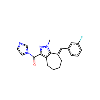 Cn1nc(C(=O)n2ccnc2)c2c1C(=Cc1cccc(F)c1)CCCC2